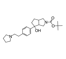 CC(C)(C)OC(=O)N1CC2CCC(O)(c3ccc(CCN4CCCC4)cc3)C2C1